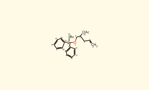 C=CCC(CO[Si](c1ccccc1)(c1ccccc1)C(C)(C)C)OC(C)=O